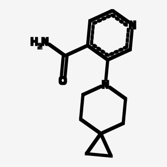 NC(=O)c1ccncc1N1CCC2(CC1)CC2